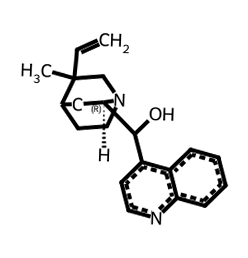 C=CC1(C)CN2CCC1C[C@@H]2C(O)c1ccnc2ccccc12